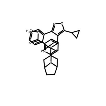 COC(=O)c1cccc(N2C3CCC2CC(OCc2c(-c4ccccc4C(F)(F)F)noc2C2CC2)C3)n1